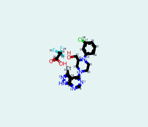 CCc1n[nH]c2ncnc(N3CCN(c4cccc(Cl)c4)C(CO)C3)c12.O=C(O)C(F)(F)F